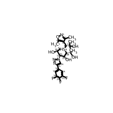 Cc1noc(C)c1[C@@H]([SH]1C[C@H](O)[C@H](n2cc(-c3cc(F)c(F)c(F)c3)nn2)[C@@H](O)[C@H]1CO)C(C)(C)O